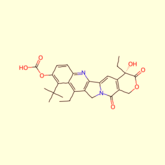 CCc1c2c(nc3ccc(OC(=O)O)c(C(C)(C)C)c13)-c1cc3c(c(=O)n1C2)COC(=O)[C@]3(O)CC